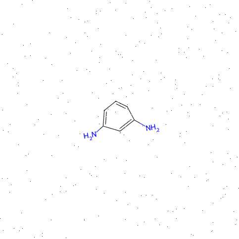 Nc1[c]c(N)ccc1